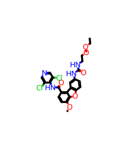 CCOOCCNC(=O)Nc1ccc2oc3c(OC)ccc(C(=O)Nc4c(Cl)cncc4Cl)c3c2c1